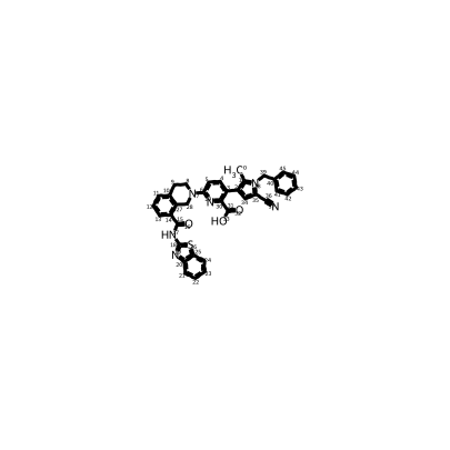 Cc1c(-c2ccc(N3CCc4cccc(C(=O)Nc5nc6ccccc6s5)c4C3)nc2C(=O)O)cc(C#N)n1Cc1ccccc1